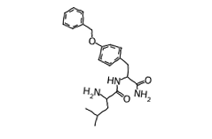 CC(C)CC(N)C(=O)NC(Cc1ccc(OCc2ccccc2)cc1)C(N)=O